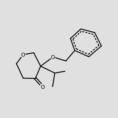 CC(C)C1(OCc2ccccc2)COCCC1=O